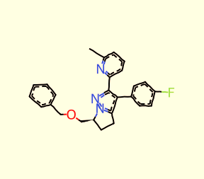 Cc1cccc(-c2nn3c(c2-c2ccc(F)cc2)CC[C@H]3COCc2ccccc2)n1